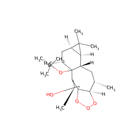 C[C@@H]1C[C@@H]2[C@H]([C@@H]3C[C@H](C)[C@H]4OOO[C@]45C[C@](C)(O)C=C5C13O[Si](C)(C)C)C2(C)C